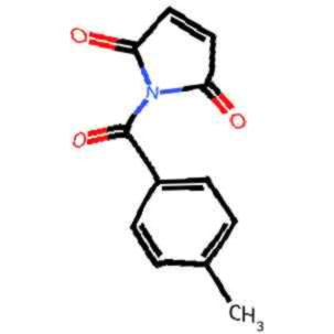 Cc1ccc(C(=O)N2C(=O)C=CC2=O)cc1